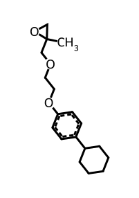 CC1(COCCOc2ccc(C3CCCCC3)cc2)CO1